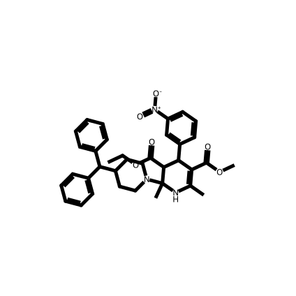 CCOC(=O)C1C(c2cccc([N+](=O)[O-])c2)C(C(=O)OC)=C(C)NC1(C)N1CCC(C(c2ccccc2)c2ccccc2)CC1